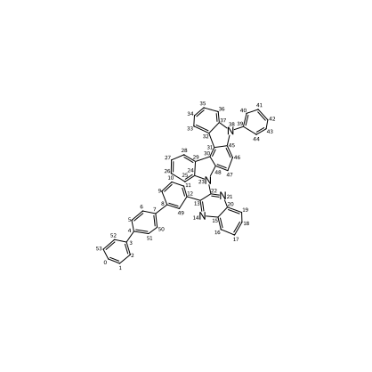 c1ccc(-c2ccc(-c3cccc(-c4nc5ccccc5nc4-n4c5ccccc5c5c6c7ccccc7n(-c7ccccc7)c6ccc54)c3)cc2)cc1